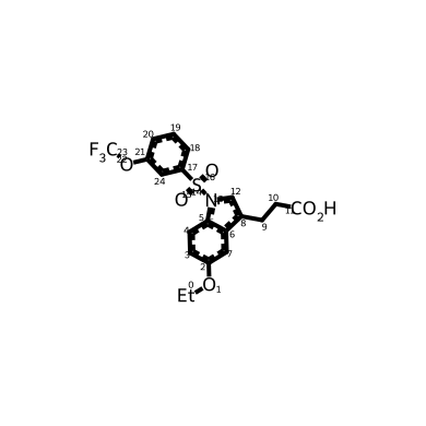 CCOc1ccc2c(c1)c(CCC(=O)O)cn2S(=O)(=O)c1cccc(OC(F)(F)F)c1